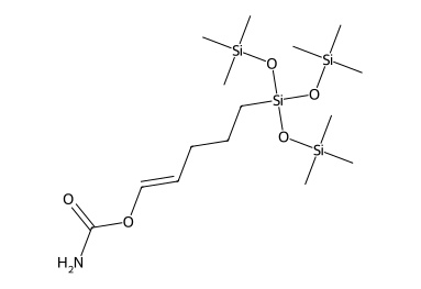 C[Si](C)(C)O[Si](CCCC=COC(N)=O)(O[Si](C)(C)C)O[Si](C)(C)C